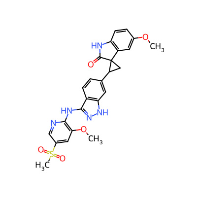 COc1ccc2c(c1)C1(CC1c1ccc3c(Nc4ncc(S(C)(=O)=O)cc4OC)n[nH]c3c1)C(=O)N2